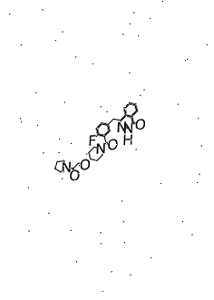 O=C(COC1CCN(C(=O)c2cc(Cc3n[nH]c(=O)c4ccccc34)ccc2F)CC1)N1CCCC1